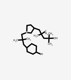 CC(C)C1CCC(CC(C)(C)CN2CCC(CC(C)(C)CC(C)(C)O)C2)CC1